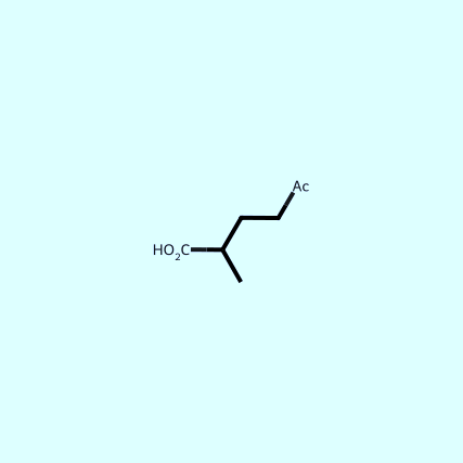 CC(=O)CCC(C)C(=O)O